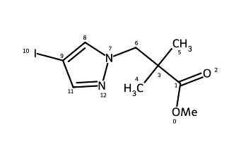 COC(=O)C(C)(C)Cn1cc(I)cn1